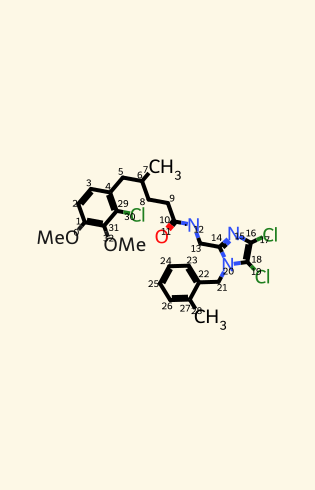 COc1ccc(CC(C)CCC(=O)[N]Cc2nc(Cl)c(Cl)n2Cc2ccccc2C)c(Cl)c1OC